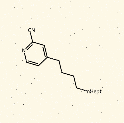 CCCCCCCCCCCc1ccnc(C#N)c1